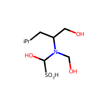 CC(C)CC(CO)N(CO)C(O)S(=O)(=O)O